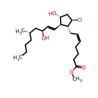 CCCC[C@H](C)C[C@H](O)/C=C/[C@@H]1[C@@H](C/C=C\CCCC(=O)OC)[C@H](Cl)C[C@H]1O